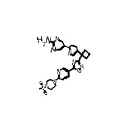 CS(=O)(=O)N1CCN(c2ccc(-c3nc(C4(c5ccc(-c6cnc(N)nc6)nc5)CCC4)no3)cn2)CC1